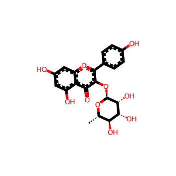 C[C@@H]1O[C@@H](Oc2c(-c3ccc(O)cc3)oc3cc(O)cc(O)c3c2=O)[C@H](O)[C@H](O)[C@H]1O